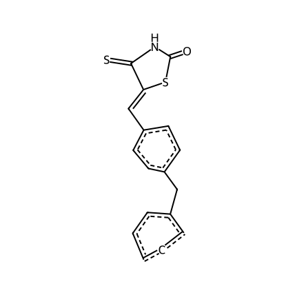 O=C1NC(=S)C(=Cc2ccc(Cc3ccccc3)cc2)S1